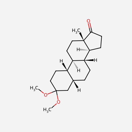 COC1(OC)CC[C@H]2[C@H](CC[C@@H]3[C@@H]2CC[C@]2(C)C(=O)CC[C@@H]32)C1